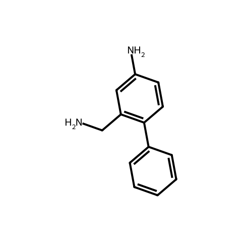 NCc1cc(N)ccc1-c1ccccc1